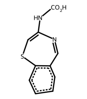 O=C(O)NC1=CSc2ccccc2C=N1